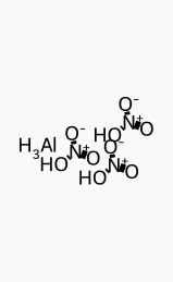 O=[N+]([O-])O.O=[N+]([O-])O.O=[N+]([O-])O.[AlH3]